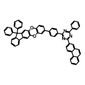 c1ccc(-c2nc(-c3ccc(-c4ccc5c(c4)Oc4cc6c(cc4O5)C(c4ccccc4)(c4ccccc4)c4ccccc4-6)cc3)nc(-c3ccc4c(ccc5ccccc54)c3)n2)cc1